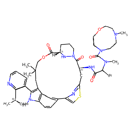 CCn1c(-c2cccnc2[C@H](C)OC)c2c3cc(ccc31)-c1csc(n1)C[C@H](NC(=O)C(C(C)C)N(C)C(=O)N1CCOCCN(C)CC1)C(=O)N1CCC[C@H](N1)C(=O)OCC(C)(C)C2